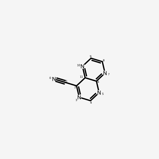 N#Cc1ncnc2nccnc12